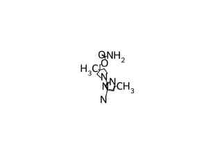 Cc1cc(C#N)nc(N2CCC(C)(COC(N)=O)CC2)n1